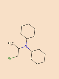 CC(CBr)N(C1CCCCC1)C1CCCCC1